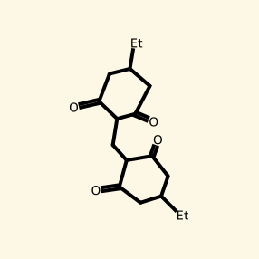 CCC1CC(=O)C(CC2C(=O)CC(CC)CC2=O)C(=O)C1